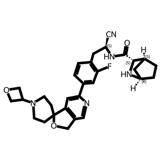 N#C[C@H](Cc1ccc(-c2cc3c(cn2)COC32CCN(C3COC3)CC2)cc1F)NC(=O)[C@H]1N[C@@H]2CC[C@H]1C2